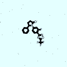 O=C1CCC(c2ccccc2)N1c1ccc(-c2noc(C(F)(F)F)n2)c(F)c1